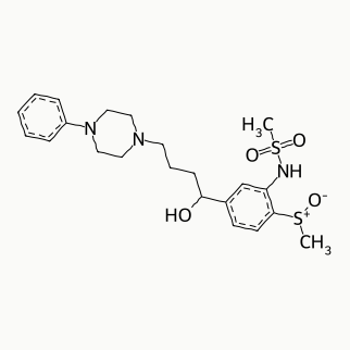 C[S+]([O-])c1ccc(C(O)CCCN2CCN(c3ccccc3)CC2)cc1NS(C)(=O)=O